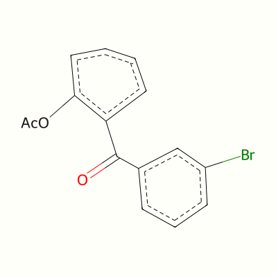 CC(=O)Oc1ccccc1C(=O)c1cccc(Br)c1